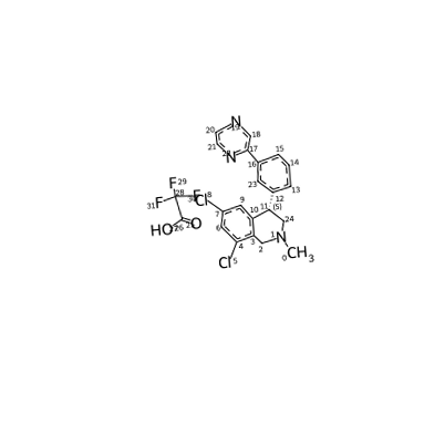 CN1Cc2c(Cl)cc(Cl)cc2[C@H](c2cccc(-c3cnccn3)c2)C1.O=C(O)C(F)(F)F